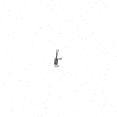 C#CCl.F